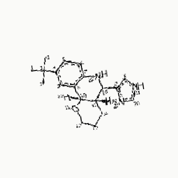 CC(C)(C)c1ccc2c(c1)[C@H]1OCCC[C@H]1[C@H](c1c[nH]cn1)N2